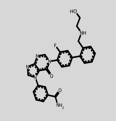 NC(=O)c1cccc(-n2cnc3ncn(-c4ccc(-c5ccccc5CNCCO)cc4F)c(=O)c32)c1